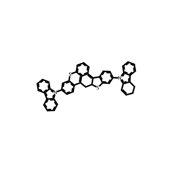 C1=Cc2c(c3ccccc3n2-c2ccc3c(c2)SC2CC4=c5c(cccc5=C32)Sc2cc(-n3c5ccccc5c5ccccc53)ccc24)CC1